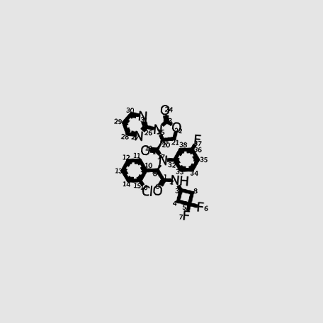 O=C(NC1CC(F)(F)C1)[C@@H](c1ccccc1Cl)N(C(=O)[C@@H]1COC(=O)N1c1ncccn1)c1cccc(F)c1